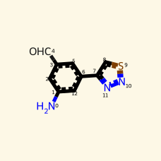 Nc1cc(C=O)cc(-c2csnn2)c1